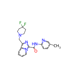 Cc1ccc(NC(=O)c2nc(CN3CCC(F)(F)CC3)c3ccccn23)nc1